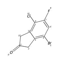 O=C1Cc2c(Br)cc(F)c(Cl)c2C1